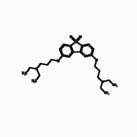 CCN(CC)CCCOc1ccc2c(c1)-c1cc(OCCCN(CC)CC)ccc1S2(=O)=O